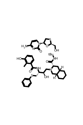 Cc1c(O)cccc1C(=O)N[C@@H](CSc1ccccc1)[C@H](O)CN1C[C@H]2CCCC[C@H]2C[C@H]1C(=O)NC(C)(C)C.Nc1ccn([C@H]2CS[C@@H](CO)O2)c(=O)n1